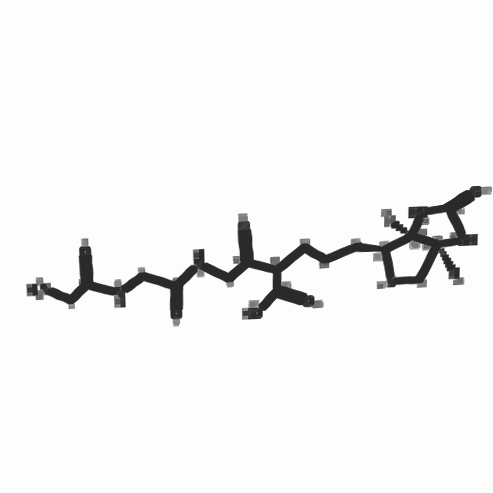 NCC(=O)NCC(=O)NCC(=O)C(CCC[C@@H]1SC[C@@H]2NC(=O)N[C@@H]21)C(=O)O